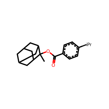 CC(C)c1ccc(C(=O)OC2(C)C3CC4CC(C3)CC2C4)cc1